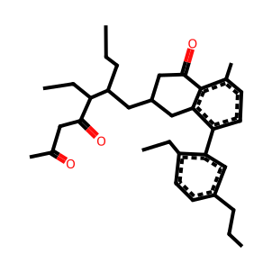 CCCc1ccc(CC)c(-c2ccc(C)c3c2CC(CC(CCC)C(CC)C(=O)CC(C)=O)CC3=O)c1